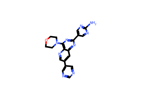 Nc1ncc(-c2nc(N3CCOCC3)c3ncc(-c4cncnc4)cc3n2)cn1